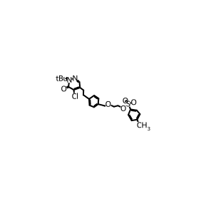 Cc1ccc(S(=O)(=O)OCCOCc2ccc(CCc3cnn(C(C)(C)C)c(=O)c3Cl)cc2)cc1